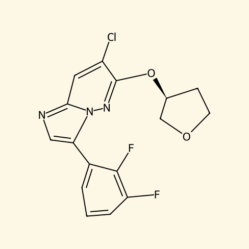 Fc1cccc(-c2cnc3cc(Cl)c(O[C@H]4CCOC4)nn23)c1F